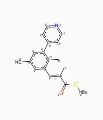 CCCCSC(=O)/C(C)=C/c1cc(C#N)cc(-c2ccncc2)c1C